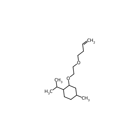 C=CCCOCCOC1CC(C)CCC1C(C)C